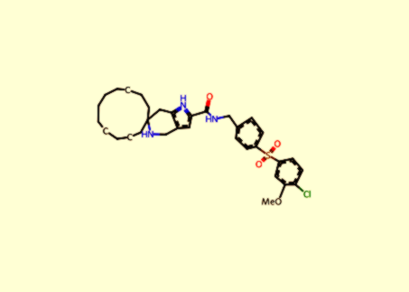 COc1cc(S(=O)(=O)c2ccc(CNC(=O)c3cc4c([nH]3)CC3(CCCCCCCCCCC3)NC4)cc2)ccc1Cl